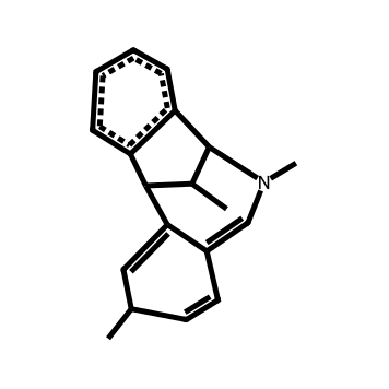 CC1C=CC2=CN(C)C3c4ccccc4C(C2=C1)C3C